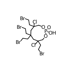 O=P1(O)OCC(Cl)(CCBr)CC(CCBr)(CCBr)CC(Cl)(CCBr)CO1